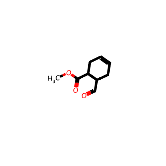 COC(=O)C1CC=CCC1C=O